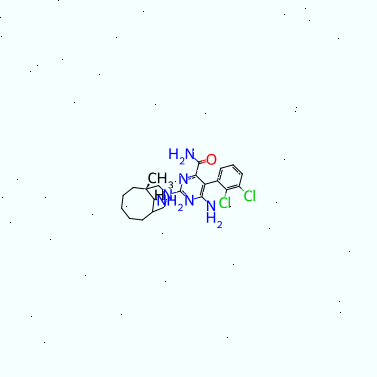 C[C@@]12CCCCCC(CN(c3nc(N)c(-c4cccc(Cl)c4Cl)c(C(N)=O)n3)C1)[C@H]2N